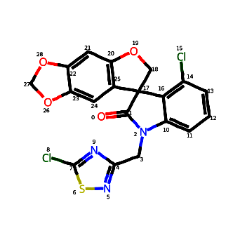 O=C1N(Cc2nsc(Cl)n2)c2cccc(Cl)c2C12COc1cc3c(cc12)OCO3